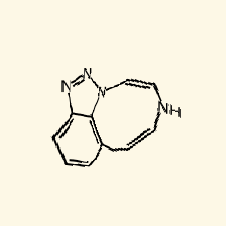 c1cc2cc[nH]ccn3nnc(c1)c23